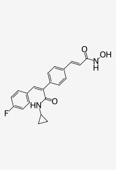 O=C(C=Cc1ccc(C(=Cc2ccc(F)cc2)C(=O)NC2CC2)cc1)NO